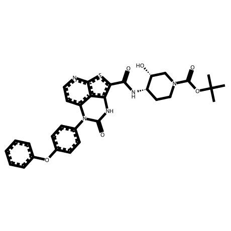 CC(C)(C)OC(=O)N1CC[C@H](NC(=O)c2sc3nccc4c3c2NC(=O)N4c2ccc(Oc3ccccc3)cc2)[C@H](O)C1